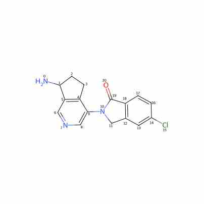 NC1CCc2c1cncc2N1Cc2cc(Cl)ccc2C1=O